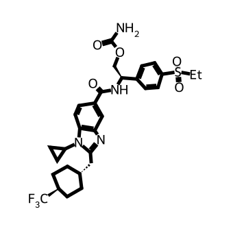 CCS(=O)(=O)c1ccc([C@H](COC(N)=O)NC(=O)c2ccc3c(c2)nc(C[C@H]2CC[C@H](C(F)(F)F)CC2)n3C2CC2)cc1